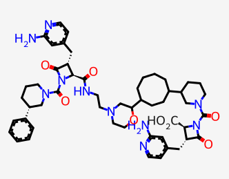 Nc1cc(C[C@H]2C(=O)N(C(=O)N3CCCC(C4CCCCC(C5CN(CCNC(=O)[C@@H]6[C@@H](Cc7ccnc(N)c7)C(=O)N6C(=O)N6CCC[C@@H](c7ccccc7)C6)CCO5)CC4)C3)[C@@H]2C(=O)O)ccn1